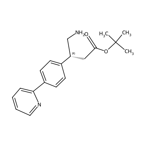 CC(C)(C)OC(=O)C[C@@H](CN)c1ccc(-c2ccccn2)cc1